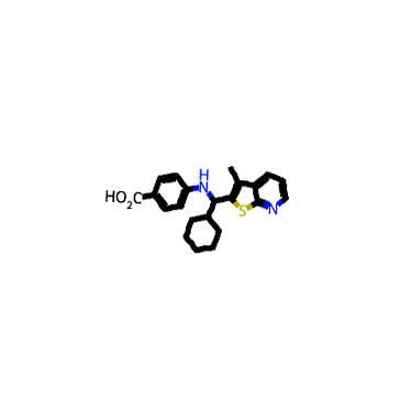 Cc1c(C(Nc2ccc(C(=O)O)cc2)C2CCCCC2)sc2ncccc12